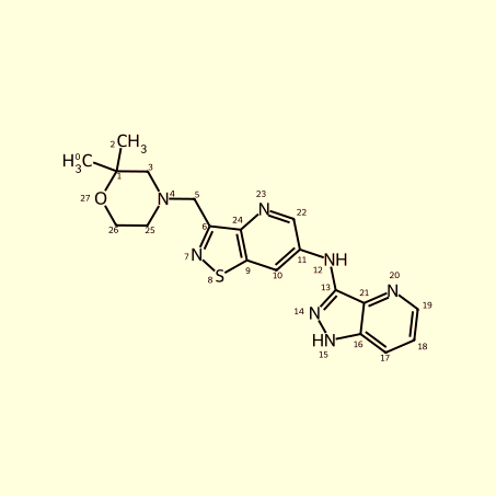 CC1(C)CN(Cc2nsc3cc(Nc4n[nH]c5cccnc45)cnc23)CCO1